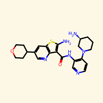 Nc1sc2cc(C3CCOCC3)cnc2c1C(=O)Nc1cnccc1N1CCC[C@H](N)C1